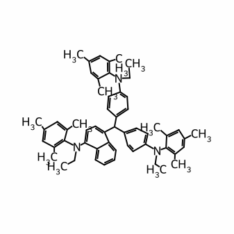 CCN(c1ccc(C(c2ccc(N(CC)c3c(C)cc(C)cc3C)cc2)c2ccc(N(CC)c3c(C)cc(C)cc3C)c3ccccc23)cc1)c1c(C)cc(C)cc1C